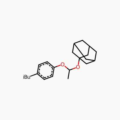 CCC(C)c1ccc(OC(C)OC23CC4CC(CC(C4)C2)C3)cc1